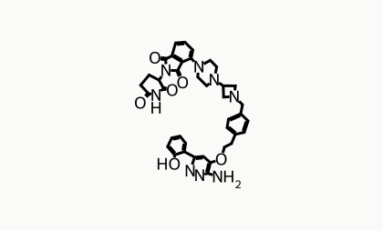 Nc1nnc(-c2ccccc2O)cc1OCCc1ccc(CN2CC(N3CCN(c4cccc5c4C(=O)N(C4CCC(=O)NC4=O)C5=O)CC3)C2)cc1